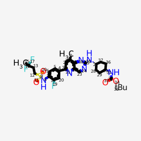 Cc1cc(-c2ccc(NS(=O)(=O)CCC(C)(F)F)c(F)c2)nc2cnc(N[C@H]3CC[C@H](NC(=O)OC(C)(C)C)CC3)nc12